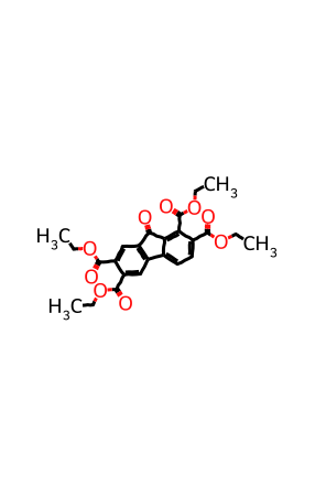 CCOC(=O)c1cc2c(cc1C(=O)OCC)-c1ccc(C(=O)OCC)c(C(=O)OCC)c1C2=O